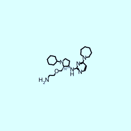 NCCOC[C@@H]1[C@@H](Nc2nccc(N3CCCCCC3)n2)CCN1C1CCCCC1